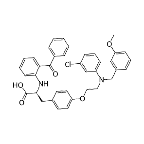 COc1cccc(CN(CCOc2ccc(C[C@H](Nc3ccccc3C(=O)c3ccccc3)C(=O)O)cc2)c2cccc(Cl)c2)c1